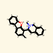 Cc1ccc2c(oc3ccccc32)c1-c1cc2ccccc2c[n+]1C